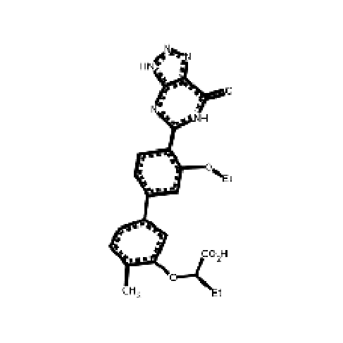 CCOc1cc(-c2ccc(C)c(OC(CC)C(=O)O)c2)ccc1-c1nc2[nH]nnc2c(=O)[nH]1